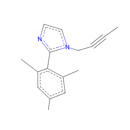 CC#CCn1ccnc1-c1c(C)cc(C)cc1C